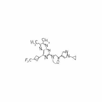 Cc1nc2nc(N3CCO[C@H](c4cnn(C5CC5)c4)C3)nc(C34CC(C(F)(F)F)(C3)C4)c2nc1C